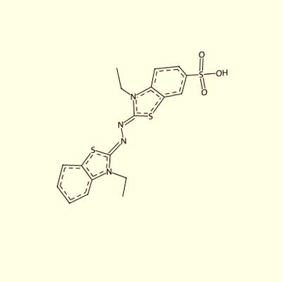 CCn1/c(=N/N=c2\sc3cc(S(=O)(=O)O)ccc3n2CC)sc2ccccc21